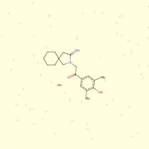 Br.CC(C)(C)c1cc(C(=O)CN2CC3(CCCCC3)CC2=N)cc(C(C)(C)C)c1O